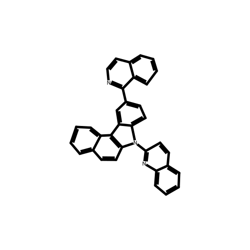 c1ccc2nc(-n3c4ccc(-c5nccc6ccccc56)cc4c4c5ccccc5ccc43)ccc2c1